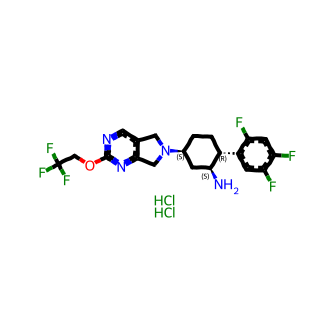 Cl.Cl.N[C@H]1C[C@@H](N2Cc3cnc(OCC(F)(F)F)nc3C2)CC[C@@H]1c1cc(F)c(F)cc1F